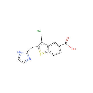 Cc1c(Cc2ncc[nH]2)sc2ccc(C(=O)O)cc12.Cl